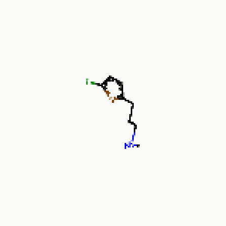 CNCCCc1ccc(F)s1